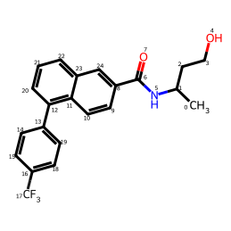 CC(CCO)NC(=O)c1ccc2c(-c3ccc(C(F)(F)F)cc3)cccc2c1